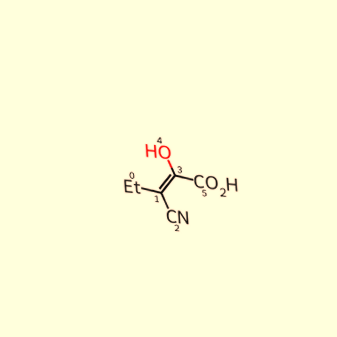 CCC(C#N)=C(O)C(=O)O